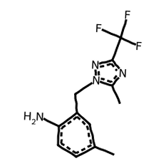 Cc1ccc(N)c(Cn2nc(C(F)(F)F)nc2C)c1